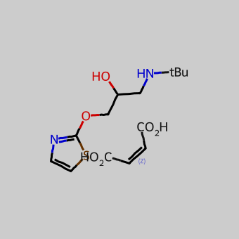 CC(C)(C)NCC(O)COc1nccs1.O=C(O)/C=C\C(=O)O